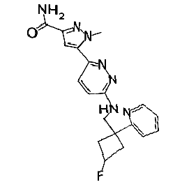 Cn1nc(C(N)=O)cc1-c1ccc(NCC2(c3ccccn3)CC(F)C2)nn1